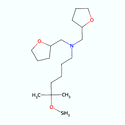 CC(C)(CCCCN(CC1CCCO1)CC1CCCO1)O[SiH3]